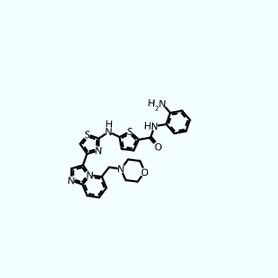 Nc1ccccc1NC(=O)c1ccc(Nc2nc(-c3cnc4cccc(CN5CCOCC5)n34)cs2)s1